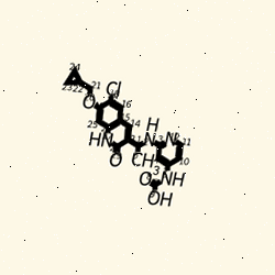 CC(Nc1cc(NC(=O)O)ccn1)c1cc2cc(Cl)c(OCC3CC3)cc2[nH]c1=O